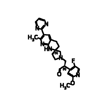 COc1cc([C@@H](C=O)CN2CC[C@@]3(CCc4cc(-c5ncccn5)c(C)nc4N3)C2)c(F)cn1